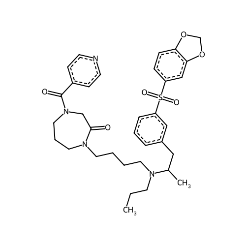 CCCN(CCCCN1CCCN(C(=O)c2ccncc2)CC1=O)C(C)Cc1cccc(S(=O)(=O)c2ccc3c(c2)OCO3)c1